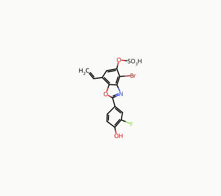 C=Cc1cc(OS(=O)(=O)O)c(Br)c2nc(-c3ccc(O)c(F)c3)oc12